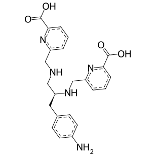 Nc1ccc(C[C@@H](CNCc2cccc(C(=O)O)n2)NCc2cccc(C(=O)O)n2)cc1